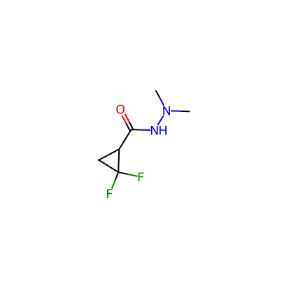 CN(C)NC(=O)C1CC1(F)F